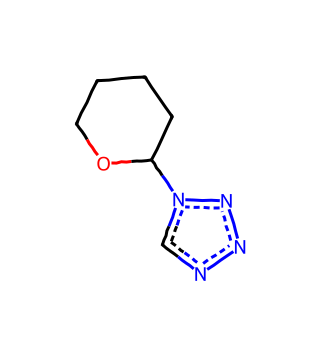 c1nnnn1C1CCCCO1